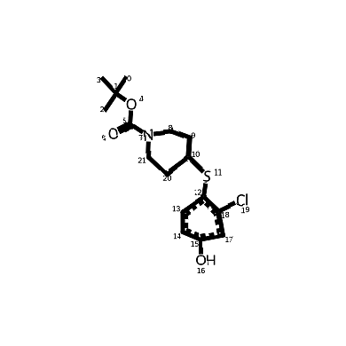 CC(C)(C)OC(=O)N1CCC(Sc2ccc(O)cc2Cl)CC1